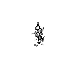 CC1(C)O[C@@H]2C[C@H]3[C@@H]4C[C@H](F)C5=CC(=O)CC[C@]5(C)[C@@]4(Cl)[C@@H](O)C[C@]3(C)[C@]2(C(=O)C(F)Br)O1